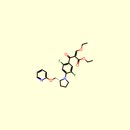 CCO/C=C(\C(=O)OCC)C(=O)c1cc(F)c(N2CCC[C@@H]2COc2ccccn2)cc1F